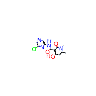 Cc1cc(O)c(C(=O)Nc2cncc(Cl)n2)c(=O)n1C